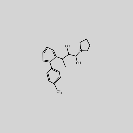 CC(c1ccccc1-c1ccc(C(F)(F)F)cc1)C(O)C(O)N1CCCC1